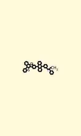 C=C/C(=C\c1cccc(-c2c3ccccc3c(-c3ccc4c(c3)oc3c5ccccc5c5c6ccccc6sc5c43)c3ccccc23)c1)c1ccccc1